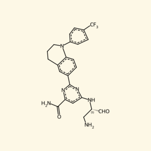 NC[C@@H](C=O)Nc1cc(C(N)=O)nc(-c2ccc3c(c2)CCCN3c2ccc(C(F)(F)F)cc2)n1